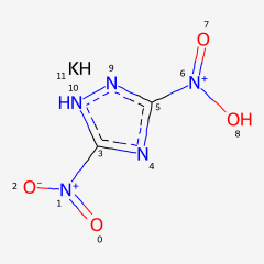 O=[N+]([O-])c1nc([N+](=O)O)n[nH]1.[KH]